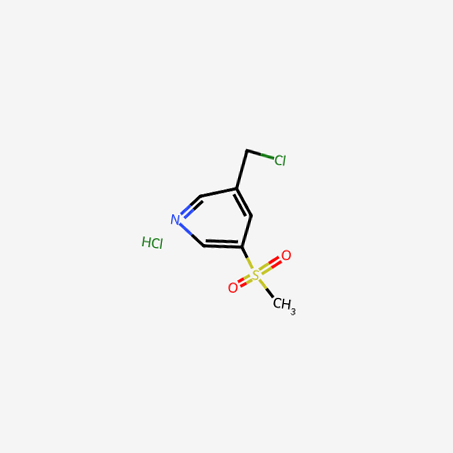 CS(=O)(=O)c1cncc(CCl)c1.Cl